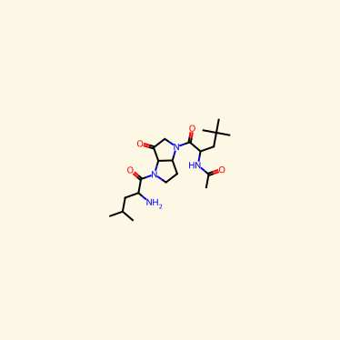 CC(=O)NC(CC(C)(C)C)C(=O)N1CC(=O)C2C1CCN2C(=O)C(N)CC(C)C